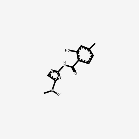 Cc1ccc(C(=O)Nc2nc([S+](C)[O-])cs2)c(O)c1